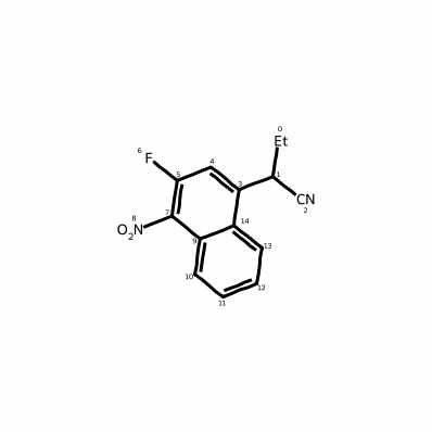 CCC(C#N)c1cc(F)c([N+](=O)[O-])c2ccccc12